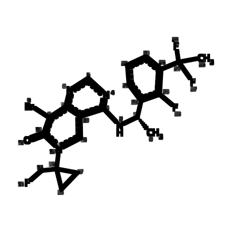 C[C@H](Nc1ncnc2c(Br)c(=O)n(C3(CF)CC3)cc12)c1cccc(C(C)(F)F)c1F